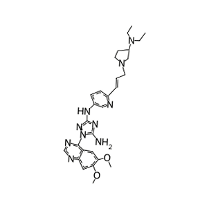 CCN(CC)C1CCN(C/C=C/c2ccc(Nc3nc(N)n(-c4ncnc5cc(OC)c(OC)cc45)n3)cn2)C1